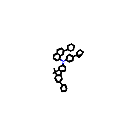 CC1(C)c2ccc(-c3ccccc3)cc2-c2ccc(N(c3ccc(C4CC5CCC4C5)cc3)c3cccc4ccc(C5CCCCC5)cc34)cc21